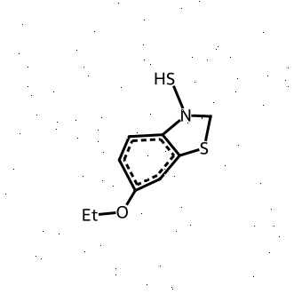 CCOc1ccc2c(c1)SCN2S